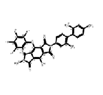 Cc1ccc(-c2ccc(-n3c(=O)c4c(O)c5c(=O)n(C)c(=O)c5c(Oc5c(F)c(F)c(F)c(F)c5F)c4c3=O)cc2C(F)(F)F)c(C)c1